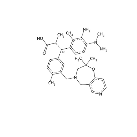 Cc1ccc([C@@H](c2ccc(N(C)N)c(N)c2C)C(C)C(=O)O)cc1CN1Cc2cnccc2OC(C)(C)C1